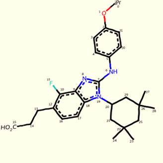 CC(C)Oc1ccc(Nc2nc3c(F)c(CCC(=O)O)ccc3n2C2CC(C)(C)CC(C)(C)C2)cc1